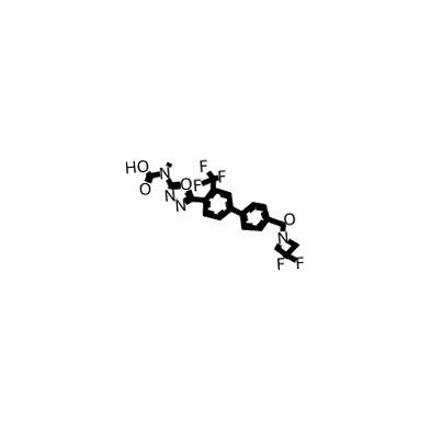 CN(C(=O)O)c1nnc(-c2ccc(-c3ccc(C(=O)N4CC(F)(F)C4)cc3)cc2C(F)(F)F)o1